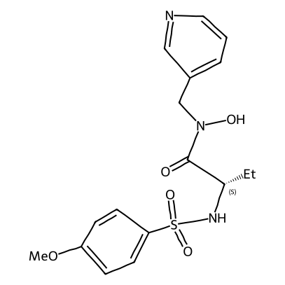 CC[C@H](NS(=O)(=O)c1ccc(OC)cc1)C(=O)N(O)Cc1cccnc1